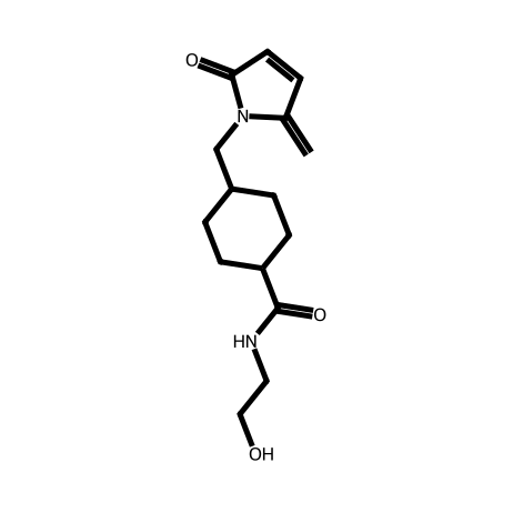 C=C1C=CC(=O)N1CC1CCC(C(=O)NCCO)CC1